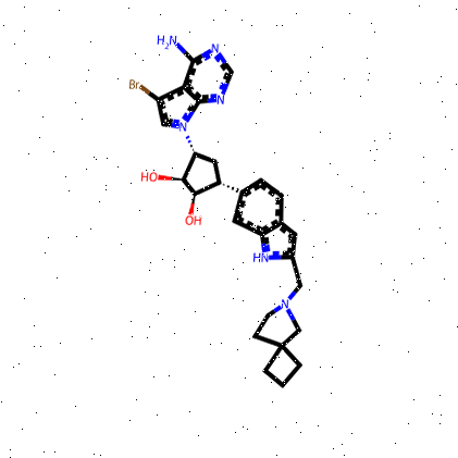 Nc1ncnc2c1c(Br)cn2[C@@H]1C[C@H](c2ccc3cc(CN4CCC5(CCC5)C4)[nH]c3c2)[C@@H](O)[C@H]1O